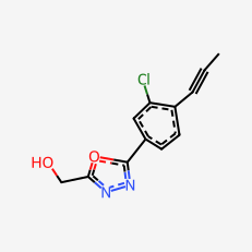 CC#Cc1ccc(-c2nnc(CO)o2)cc1Cl